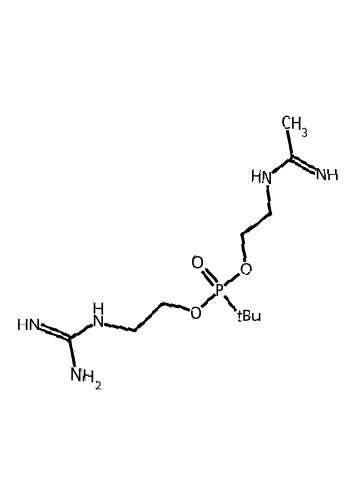 CC(=N)NCCOP(=O)(OCCNC(=N)N)C(C)(C)C